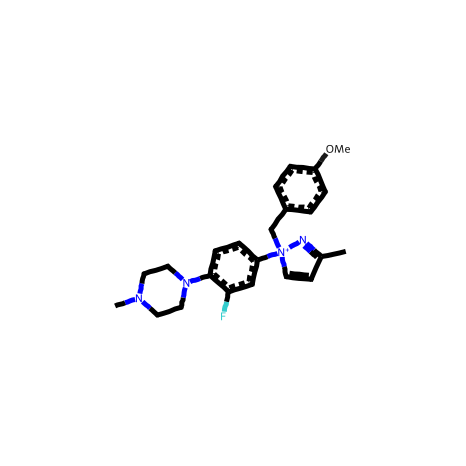 COc1ccc(C[N+]2(c3ccc(N4CCN(C)CC4)c(F)c3)C=CC(C)=N2)cc1